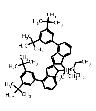 CC[Si](C)=[Hf]([CH3])([CH3])([CH]1C=Cc2c(-c3cc(C(C)(C)C)cc(C(C)(C)C)c3)cccc21)[CH]1C=Cc2c(-c3cc(C(C)(C)C)cc(C(C)(C)C)c3)cccc21